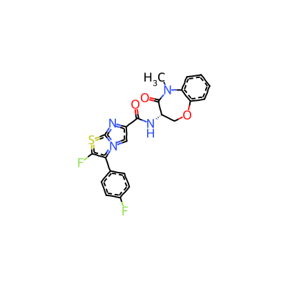 CN1C(=O)[C@@H](NC(=O)c2cn3c(-c4ccc(F)cc4)c(F)sc3n2)COc2ccccc21